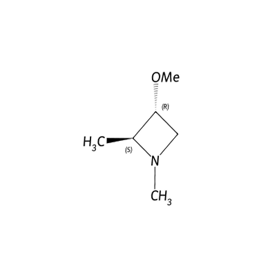 CO[C@@H]1CN(C)[C@H]1C